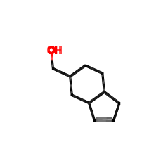 OCC1CCC2CC=CC2C1